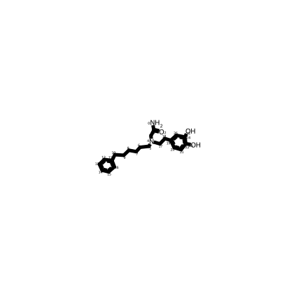 NC(=O)CN(CCCCCCc1ccccc1)CCc1ccc(O)c(O)c1